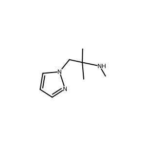 CNC(C)(C)Cn1cccn1